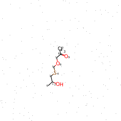 CC(O)CSCOCC(=O)C(F)(F)F